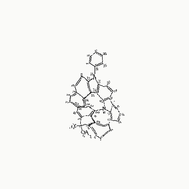 CC1(C)c2ccccc2-c2c(-n3c4ccccc4c4ccc5c(c6c7ccccc7ccc6n5-c5ccccc5)c43)cccc21